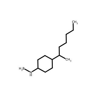 BNC1CCC(C(C)CCCCC)CC1